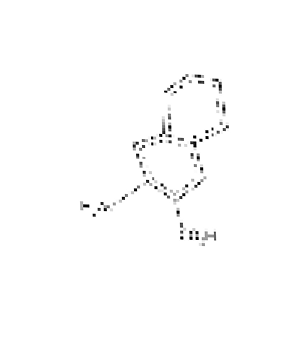 O=C(O)c1cc2ccccc2cc1[AsH2]